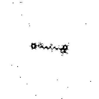 O=C(CCCc1nc(-c2ccccc2)no1)NCCNc1n[nH]c(=O)c2ccccc12